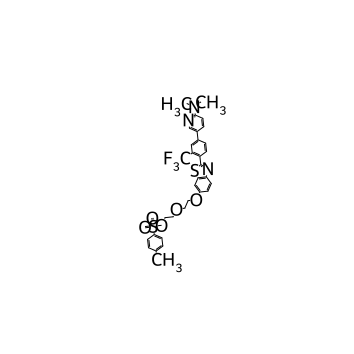 Cc1ccc(S(=O)(=O)OCCOCCOc2ccc3nc(-c4ccc(-c5ccc(N(C)C)nc5)cc4C(F)(F)F)sc3c2)cc1